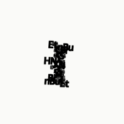 C=C1C(=N)C(c2cc(CC(CC)CCCC)c(Br)s2)=CN=C1c1cc(CC(CC)CCCC)c(Br)s1